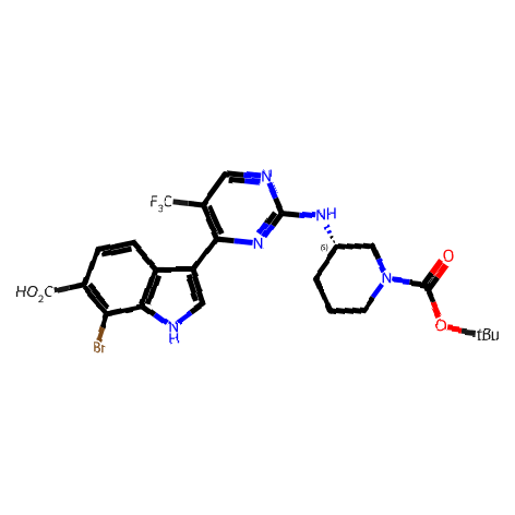 CC(C)(C)OC(=O)N1CCC[C@H](Nc2ncc(C(F)(F)F)c(-c3c[nH]c4c(Br)c(C(=O)O)ccc34)n2)C1